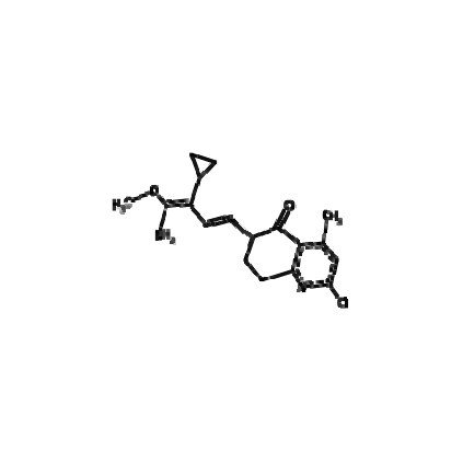 CO/C(N)=C(/C=C/C1CCc2nc(Cl)cc(C)c2C1=O)C1CC1